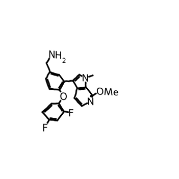 COc1nccc2c(-c3cc(CN)ccc3Oc3ccc(F)cc3F)cn(C)c12